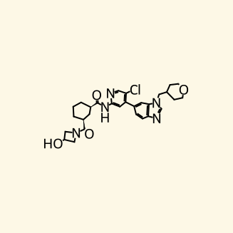 O=C(Nc1cc(-c2ccc3ncn(CC4CCOCC4)c3c2)c(Cl)cn1)[C@@H]1CCC[C@H](C(=O)N2CC(O)C2)C1